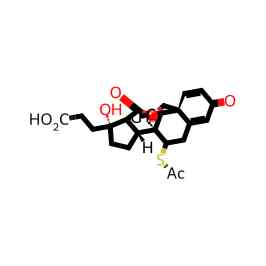 CC(=O)SC1CC2=CC(=O)C=C[C@@]23COC(=O)[C@]24CCC3[C@@H]1[C@@H]2CC[C@@]4(O)CCC(=O)O